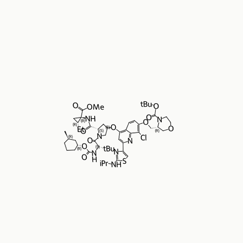 CC[C@@H]1C[C@]1(NC(=O)[C@@H]1C[C@@H](Oc2cc(-c3csc(NC(C)C)n3)nc3c(Cl)c(OC[C@H]4COCCN4C(=O)OC(C)(C)C)ccc23)CN1C(=O)[C@@H](NC(=O)O[C@@H]1CCC[C@@H](C)C1)C(C)(C)C)C(=O)OC